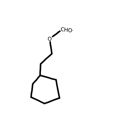 O=[C]OCCC1CCCCC1